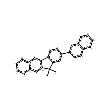 CC1(C)c2cc(-c3ccc4ccccc4c3)ccc2-c2cc3cccnc3cc21